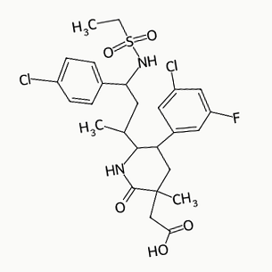 CCS(=O)(=O)NC(CC(C)C1NC(=O)C(C)(CC(=O)O)CC1c1cc(F)cc(Cl)c1)c1ccc(Cl)cc1